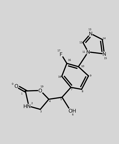 O=C1NCC(C(O)c2ccc(-n3cncn3)c(F)c2)O1